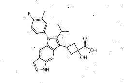 Cc1cc(-n2c(C(C)C)c(C3CC(O)(C(=O)O)C3)c3cc4[nH]ncc4cc32)ccc1F